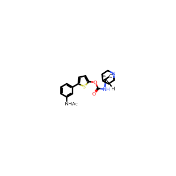 CC(=O)Nc1cccc(-c2ccc(OC(=O)N[C@H]3CN4CCC3CC4)s2)c1